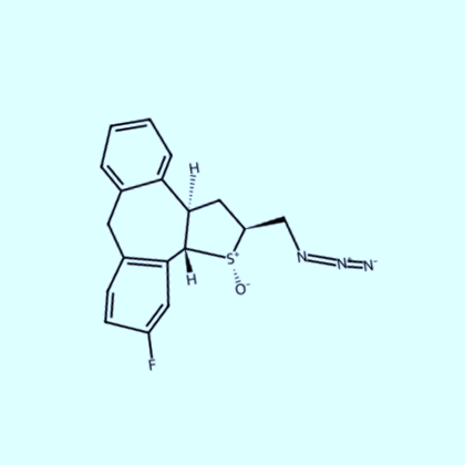 [N-]=[N+]=NC[C@@H]1C[C@@H]2c3ccccc3Cc3ccc(F)cc3[C@H]2[S@@+]1[O-]